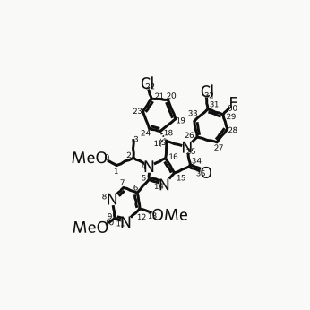 COCC(C)n1c(-c2cnc(OC)nc2OC)nc2c1[C@H](c1ccc(Cl)cc1)N(c1ccc(F)c(Cl)c1)C2=O